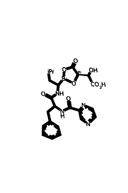 CC(C)CC(NC(=O)C(Cc1ccccc1)NC(=O)c1cnccn1)B1OC(=O)[C@@H](C(O)C(=O)O)O1